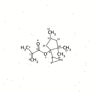 C=C(C)C(=O)OC1(C2CC2)CC(C)CC1(C)C